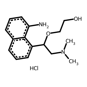 CN(C)CC(OCCO)c1cccc2cccc(N)c12.Cl